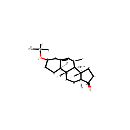 C[C@@H]1C=C2CC(O[Si](C)(C)C(C)(C)C)CC[C@]2(C)[C@H]2CC[C@]3(C)C(=O)CC[C@H]3[C@H]12